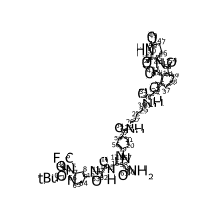 CC(C)(C)OC(=O)N(CC(F)(F)F)c1cc(-c2nc(C(=O)Nc3cn(-c4ccc(C(=O)NCCCCCNC(=O)COc5cccc6c5C(=O)N(C5CCC(=O)NC5=O)C6=O)cc4)nc3C(N)=O)co2)ccn1